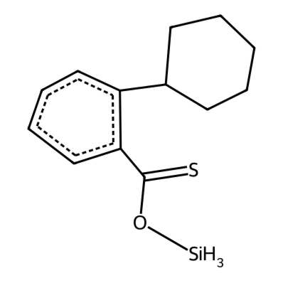 [SiH3]OC(=S)c1ccccc1C1CCCCC1